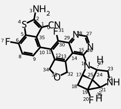 N#Cc1c(N)sc2c(F)ccc(-c3c4c(c5c(N6C7CC8(F)[C@@H]9NC[C@H]6[C@]798)ncnc5c3F)COC4)c12